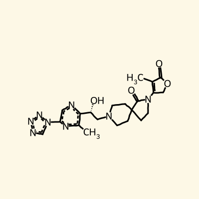 CC1=C(N2CCC3(CCN(C[C@@H](O)c4ncc(-n5cnnn5)nc4C)CC3)C2=O)COC1=O